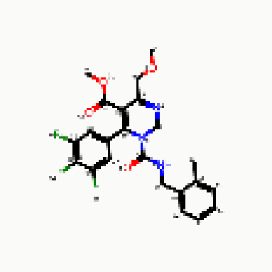 COCC1=NCN(C(=O)NCc2ccccc2C)C(c2cc(F)c(F)c(F)c2)=C1C(=O)OC